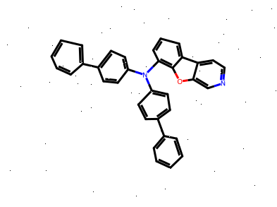 c1ccc(-c2ccc(N(c3ccc(-c4ccccc4)cc3)c3cccc4c3oc3cnccc34)cc2)cc1